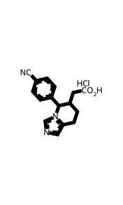 Cl.N#Cc1ccc(C2C(CC(=O)O)CCc3cncn32)cc1